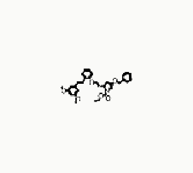 CCOC(=O)N1C[C@H](OCc2ccccc2)C[C@H]1CCOc1ccccc1CCc1cc(OC)cc(OC)c1